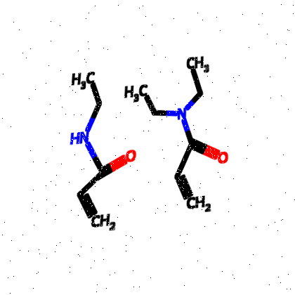 C=CC(=O)N(CC)CC.C=CC(=O)NCC